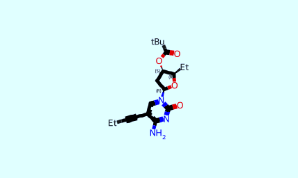 CCC#Cc1cn([C@H]2C[C@H](OC(=O)C(C)(C)C)[C@@H](CC)O2)c(=O)nc1N